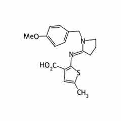 COc1ccc(CN2CCC/C2=N\c2sc(C)cc2C(=O)O)cc1